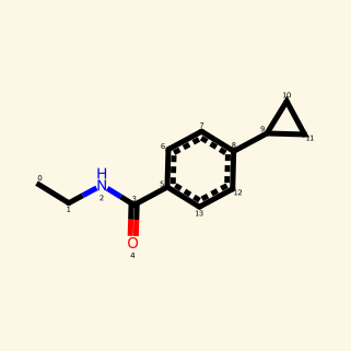 CCNC(=O)c1ccc(C2CC2)cc1